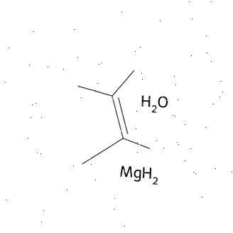 CC(C)=C(C)C.O.[MgH2]